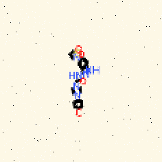 COc1ccc(N2CCN(CC(=O)Nc3n[nH]c4ccc(N5CCCS5(=O)=O)cc34)CC2)cc1